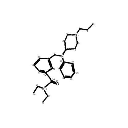 CCCN1CCC(N(Cc2cccc(C(=O)N(CC)CC)c2)c2ccccc2)CC1